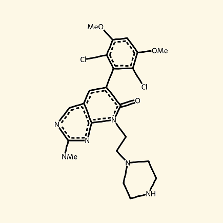 CNc1ncc2cc(-c3c(Cl)c(OC)cc(OC)c3Cl)c(=O)n(CCN3CCNCC3)c2n1